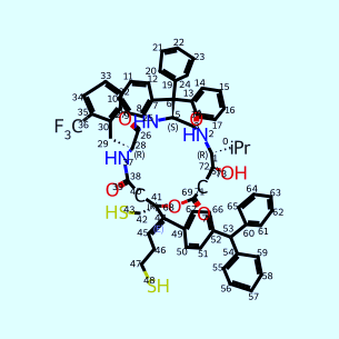 CC(C)[C@H]1NC(=O)[C@H](C(c2ccccc2)(c2ccccc2)c2ccccc2)NC(=O)[C@@H](Cc2ccccc2C(F)(F)F)NC(=O)C[C@](CS)(/C(=C/CCS)c2ccc(C(c3ccccc3)c3ccccc3)cc2)OC(=O)C[C@@H]1O